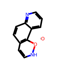 C1=Cc2ccc3ncccc3c2ON1.[O]